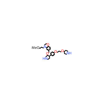 COCCCN1CCOc2ccc(COC3CNCCC3c3ccc(OCCCOC4CCNCC4)cc3)cc21